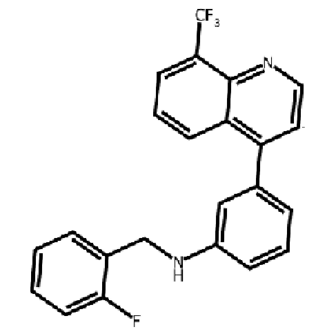 Fc1ccccc1CNc1cccc(-c2[c]cnc3c(C(F)(F)F)cccc23)c1